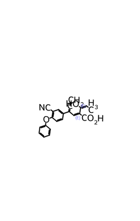 C=C=C(/C=C(C(=O)O)\C(O)=C/C)c1ccc(Oc2ccccc2)c(C#N)c1